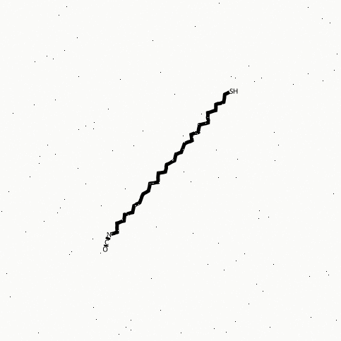 O=C=NCCCCCCCCCCCCCCCCCCCCCCCCCCCCS